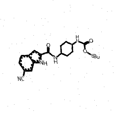 CC(C)(C)OC(=O)NC1CCC(NC(=O)c2cc3ccc(C#N)cc3[nH]2)CC1